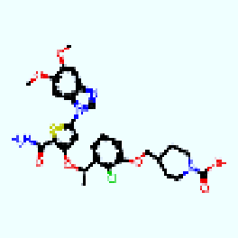 COc1cc2ncn(-c3cc(O[C@H](C)c4cccc(OCC5CCN(C(=O)O)CC5)c4Cl)c(C(N)=O)s3)c2cc1OC